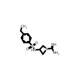 CCc1ccc(S(=O)(=O)NC2CN(C(=N)N)C2)cc1